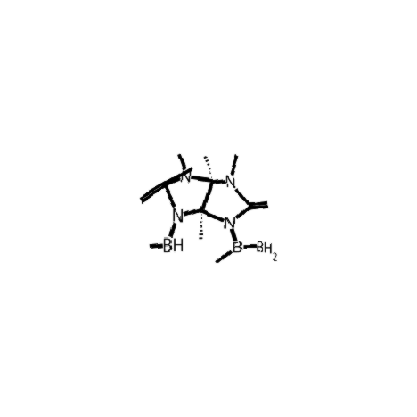 BB(C)N1C(=C)N(C)[C@]2(C)N(C)C(=C)N(BC)[C@]12C